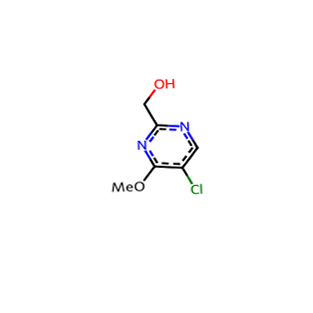 COc1nc(CO)ncc1Cl